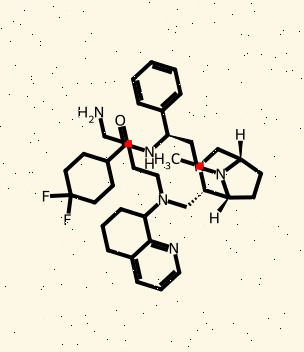 CN1C[C@@H]2CC[C@H]([C@@H]1CN(CCCCN)C1CCCc3cccnc31)N2CC[C@@H](NC(=O)C1CCC(F)(F)CC1)c1ccccc1